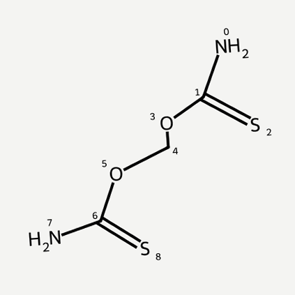 NC(=S)OCOC(N)=S